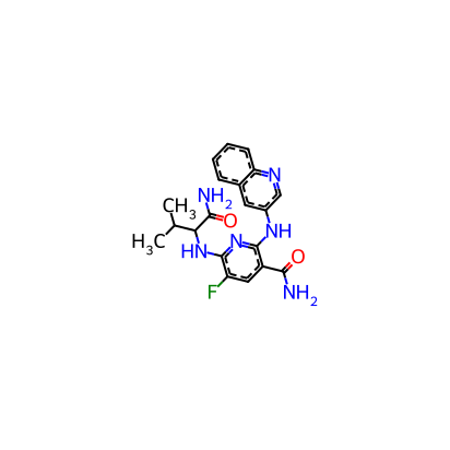 CC(C)C(Nc1nc(Nc2cnc3ccccc3c2)c(C(N)=O)cc1F)C(N)=O